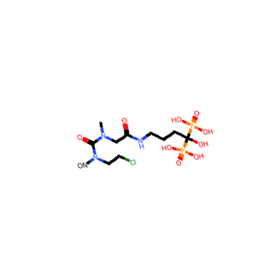 CN(CC(=O)NCCCC(O)(P(=O)(O)O)P(=O)(O)O)C(=O)N(CCCl)N=O